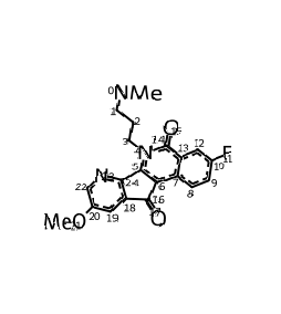 CNCCCn1c2c(c3ccc(F)cc3c1=O)C(=O)c1cc(OC)cnc1-2